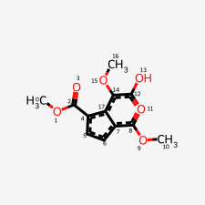 COC(=O)c1ccc2c(OC)oc(O)c(OC)c1-2